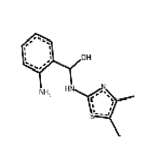 Cc1nc(NC(O)c2ccccc2N)sc1C